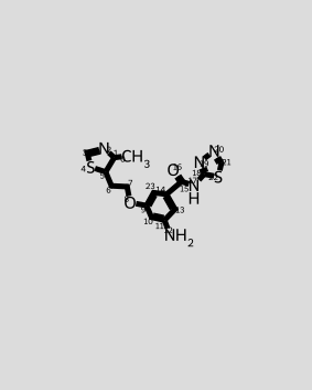 CC1N=CSC1CCOc1cc(N)cc(C(=O)Nc2nncs2)c1